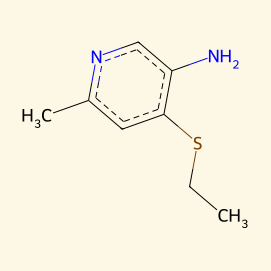 CCSc1cc(C)ncc1N